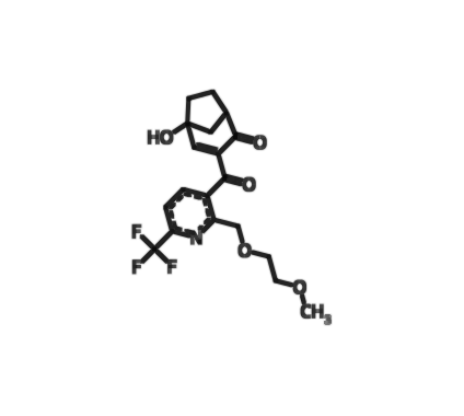 COCCOCc1nc(C(F)(F)F)ccc1C(=O)C1=CC2(O)CCC(C2)C1=O